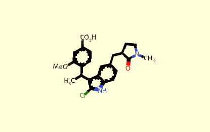 COc1cc(C(=O)O)ccc1C(C)c1c(Cl)[nH]c2ccc(CC3CCN(C)C3=O)cc12